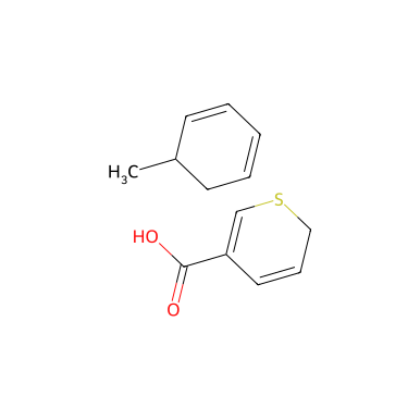 CC1C=CC=CC1.O=C(O)C1=CSCC=C1